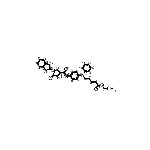 CCOC(=O)CCCCN(c1ccccc1)c1ccc(NC(=O)C2CC(=O)N(C3Cc4ccccc4C3)C2)cc1